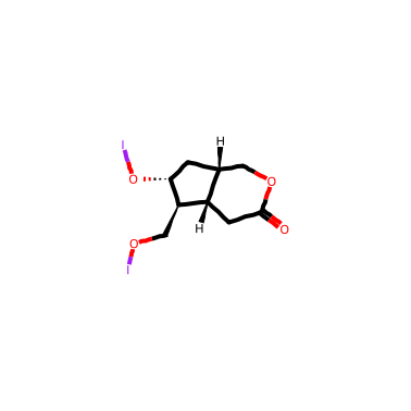 O=C1C[C@H]2[C@@H](CO1)C[C@@H](OI)[C@@H]2COI